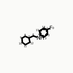 Fc1ccc(NCC2CCCCC2)cc1